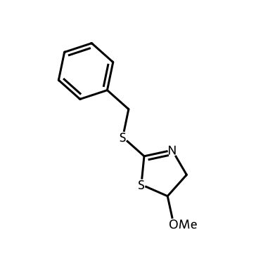 COC1CN=C(SCc2ccccc2)S1